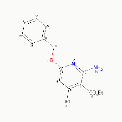 CCOC(=O)c1c(CC)cc(OCc2ccccc2)nc1N